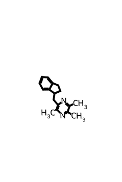 Cc1nc(C)c(CC2CCc3ccccc32)nc1C